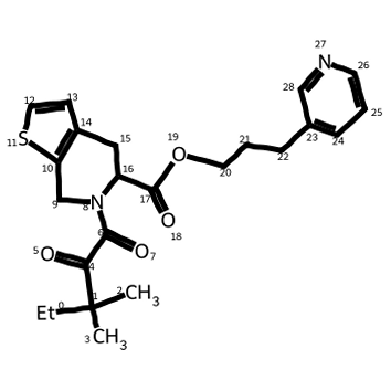 CCC(C)(C)C(=O)C(=O)N1Cc2sccc2CC1C(=O)OCCCc1cccnc1